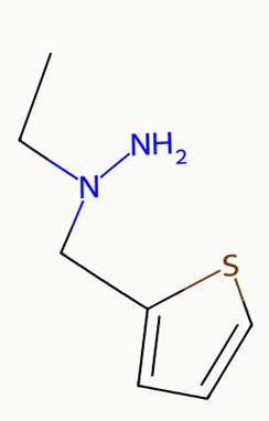 CCN(N)Cc1cccs1